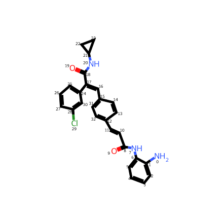 Nc1ccccc1NC(=O)/C=C/c1ccc(/C=C(/C(=O)NC2CC2)c2cccc(Cl)c2)cc1